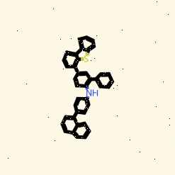 c1ccc(-c2cc(-c3cccc4c3sc3ccccc34)ccc2Nc2ccc(-c3cccc4ccccc34)cc2)cc1